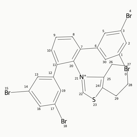 Brc1cc(Br)cc(-c2cccc(-c3cc(Br)cc(Br)c3)c2-[n+]2csc3c2CCCC3)c1